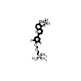 CC[Si](CC)(CC)OC1=C(C)CCc2nc(-c3cc(F)c(OCOCC[Si](C)(C)C)c(F)c3)ccc21